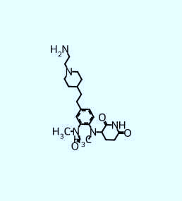 CN(C=O)c1cc(CCC2CCN(CCN)CC2)ccc1N(C)C1CCC(=O)NC1=O